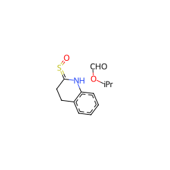 CC(C)OC=O.O=S=C1CCc2ccccc2N1